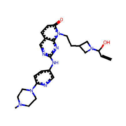 C=CC(O)N1CC(CCn2c(=O)ccc3cnc(Nc4ccc(N5CCN(C)CC5)nc4)nc32)C1